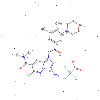 CCN(CC)C(=O)c1cc2n(nc1Cl)c(N)n[n+]2CC(=O)c1cc(N2CCOCC2)c(OC)c(C(C)(C)C)c1.O=C([O-])C(F)(F)F